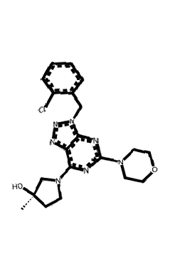 C[C@@]1(O)CCN(c2nc(N3CCOCC3)nc3c2nnn3Cc2ccccc2Cl)C1